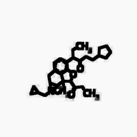 CCC(=O)C1Oc2c(C(CC)C(=O)CCC3CCCC3)ccc3c2C12CCN(CC1CC1)C(C3)C2C